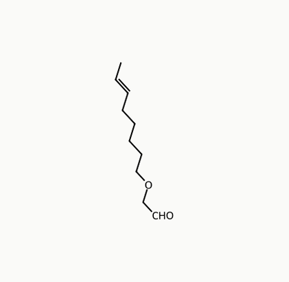 CC=CCCCCCOCC=O